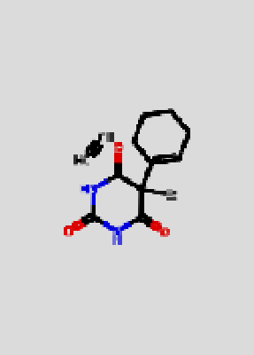 C#C.CCC1(C2=CCCCC2)C(=O)NC(=O)NC1=O